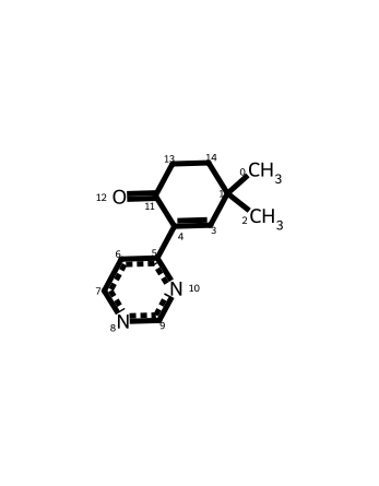 CC1(C)C=C(c2ccncn2)C(=O)CC1